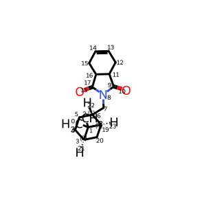 CC1(C)[C@@H]2CC[C@H](CN3C(=O)C4CC=CCC4C3=O)[C@H]1C2